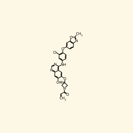 C=CC(=O)N1CC(Oc2cc3c(Nc4ccc(Oc5ccc6nc(C)oc6c5)c(Cl)c4)ncnc3cc2OC)C1